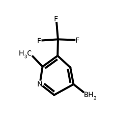 Bc1cnc(C)c(C(F)(F)F)c1